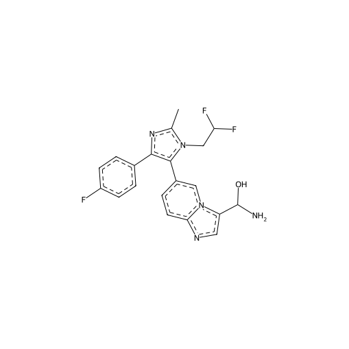 Cc1nc(-c2ccc(F)cc2)c(-c2ccc3ncc(C(N)O)n3c2)n1CC(F)F